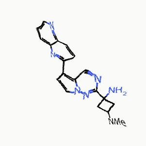 CNC1CC(N)(c2ncc3c(-c4ccc5ncccc5n4)ccn3n2)C1